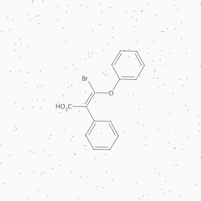 O=C(O)C(=C(Br)Oc1ccccc1)c1ccccc1